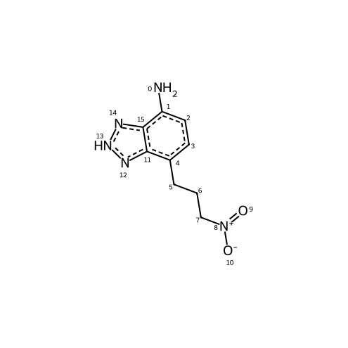 Nc1ccc(CCC[N+](=O)[O-])c2n[nH]nc12